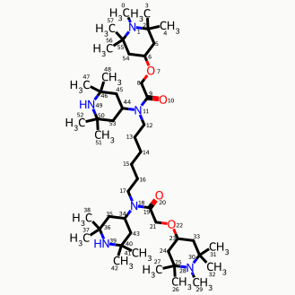 CN1C(C)(C)CC(OCC(=O)N(CCCCCCN(C(=O)COC2CC(C)(C)N(C)C(C)(C)C2)C2CC(C)(C)NC(C)(C)C2)C2CC(C)(C)NC(C)(C)C2)CC1(C)C